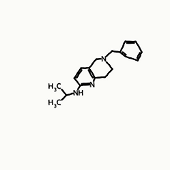 CC(C)Nc1ccc2c(n1)CCN(Cc1ccccc1)C2